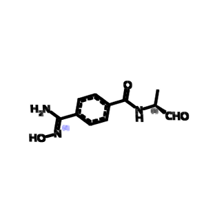 C[C@@H](C=O)NC(=O)c1ccc(/C(N)=N/O)cc1